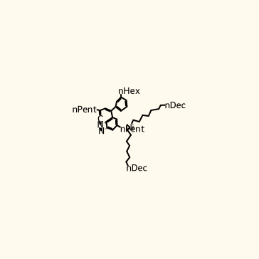 CCCCCCCCCCCCCCCC[CH2][Ni][CH2]CCCCCCCCCCCCCCCC.CCCCCCc1cccc(C(=CC(=C=[N+]=[N-])CCCCC)c2cccc(CCCCC)c2)c1